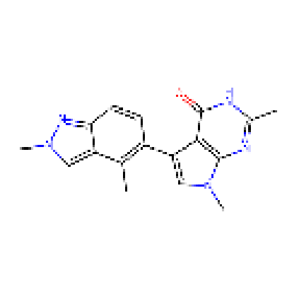 Cc1nc2c(c(-c3ccc4nn(C)cc4c3C)cn2C)c(=O)[nH]1